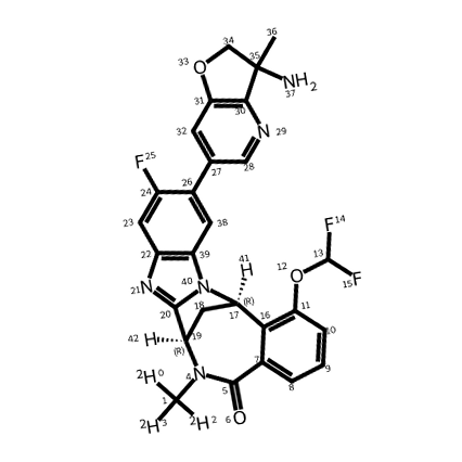 [2H]C([2H])([2H])N1C(=O)c2cccc(OC(F)F)c2[C@H]2C[C@@H]1c1nc3cc(F)c(-c4cnc5c(c4)OCC5(C)N)cc3n12